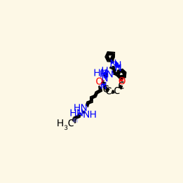 C/C=C/CNC(=N)NCCCCCCCCN1CCCCCCOc2ccccc2C(c2cn(-c3ccccc3)nn2)NC(=N)NC1=O